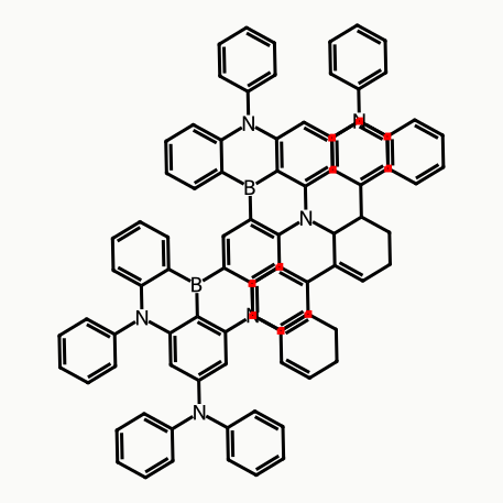 C1=CC(N2c3cc4c(cc3B3c5ccccc5N(c5ccccc5)c5cc(N(c6ccccc6)c6ccccc6)cc2c53)B2c3ccccc3N(c3ccccc3)c3cc(N(c5ccccc5)c5ccccc5)cc(c32)N4C2C(c3ccccc3)=CCCC2c2ccccc2)=CCC1